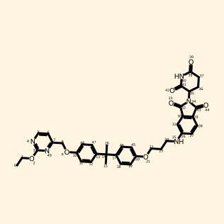 CCOc1nccc(COc2ccc(C(C)(C)c3ccc(OCCCNc4ccc5c(c4)C(=O)N(C4CCC(=O)NC4=O)C5=O)cc3)cc2)n1